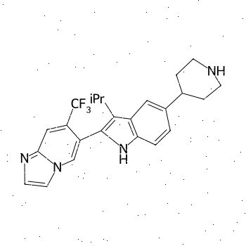 CC(C)c1c(-c2cn3ccnc3cc2C(F)(F)F)[nH]c2ccc(C3CCNCC3)cc12